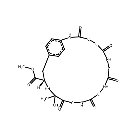 COC(=O)[C@@H]1Cc2ccc(cc2)NC(=O)CCC(=O)NCC(=O)NCC(=O)NCC(=O)C(C)(C)N1